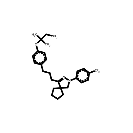 CC(C)(CN)Oc1ccc(CCCC2=NN(c3ccc(C(F)(F)F)cc3)CC23CCCC3)cc1